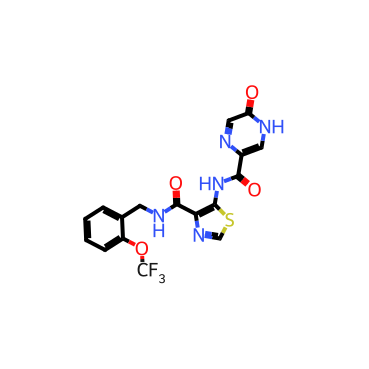 O=C(Nc1scnc1C(=O)NCc1ccccc1OC(F)(F)F)c1c[nH]c(=O)cn1